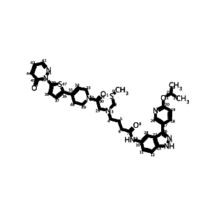 CSCN(CCCC(=O)Nc1ccc2[nH]nc(-c3ccc(OC(C)C)nc3)c2c1)CC(=O)N1CC=C(c2ccc(-n3ncccc3=O)s2)CC1